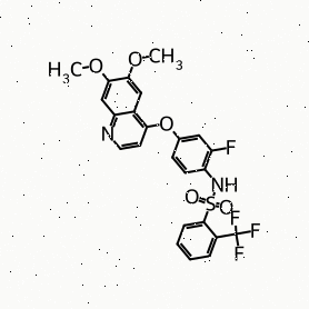 COc1cc2nccc(Oc3ccc(NS(=O)(=O)c4ccccc4C(F)(F)F)c(F)c3)c2cc1OC